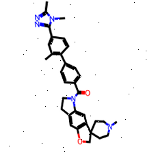 Cc1cc(-c2nnc(C)n2C)ccc1-c1ccc(C(=O)N2CCc3cc4c(cc32)C2(CCN(C)CC2)CO4)cc1